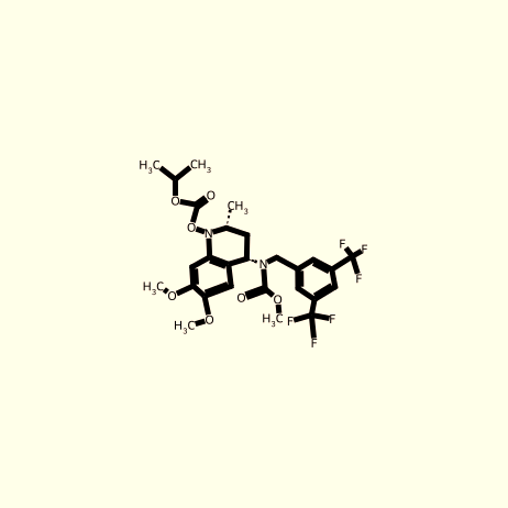 COC(=O)N(Cc1cc(C(F)(F)F)cc(C(F)(F)F)c1)[C@H]1C[C@@H](C)N(OC(=O)OC(C)C)c2cc(OC)c(OC)cc21